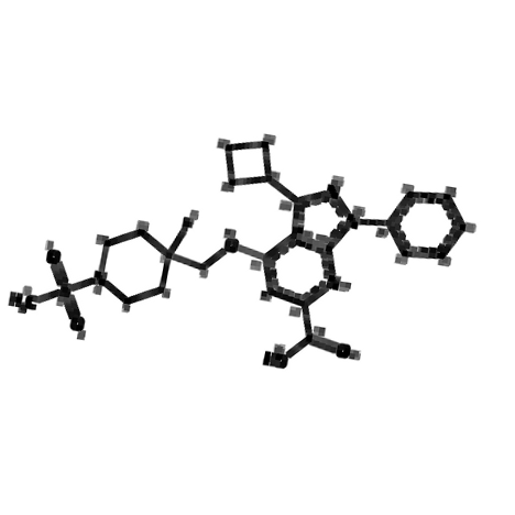 CS(=O)(=O)N1CCC(F)(COc2cc(C(=O)O)nc3c2c(C2CCC2)nn3-c2ccccc2)CC1